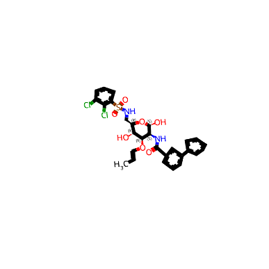 CC=CO[C@H]1[C@H](O)[C@@H](CNS(=O)(=O)c2cccc(Cl)c2Cl)O[C@H](O)[C@H]1NC(=O)c1cccc(-c2ccccc2)c1